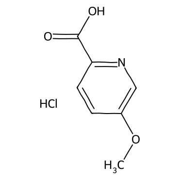 COc1ccc(C(=O)O)nc1.Cl